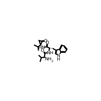 CC(C)[C@H](N)C(=O)N[C@@H](Cc1c[nH]c2ccccc12)C(=O)N[C@]1(C(C)C)CC1=O